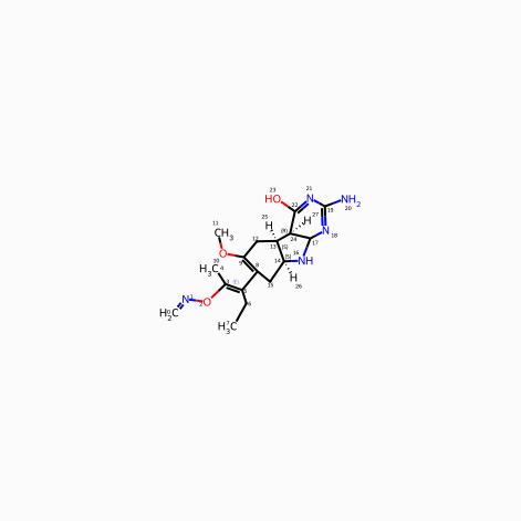 C=NO/C(C)=C(\CC)C1=C(OC)C[C@@H]2[C@H](C1)NC1N=C(N)N=C(O)[C@@H]12